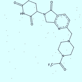 O=C1CCC(N2Cc3nc(CN4CCN(C(=O)C(F)(F)F)CC4)ccc3C2=O)C(=O)N1